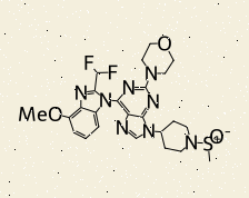 COc1cccc2c1nc(C(F)F)n2-c1nc(N2CCOCC2)nc2c1ncn2C1CCN([S+](C)[O-])CC1